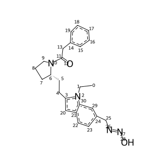 CCn1c(CC[C@@H]2CCCN2C(=O)Cc2ccccc2)cc2ccc(CN=NO)cc21